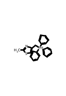 Cc1nc(C[PH](c2ccccc2)(c2ccccc2)c2ccccc2)cs1